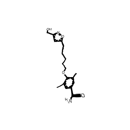 Cc1cc(C(N)=O)cc(C)c1OCCCCCc1cc(CO)no1